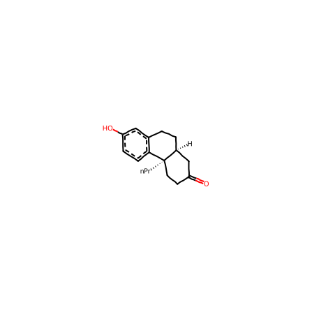 CCC[C@@]12CCC(=O)C[C@@H]1CCc1cc(O)ccc12